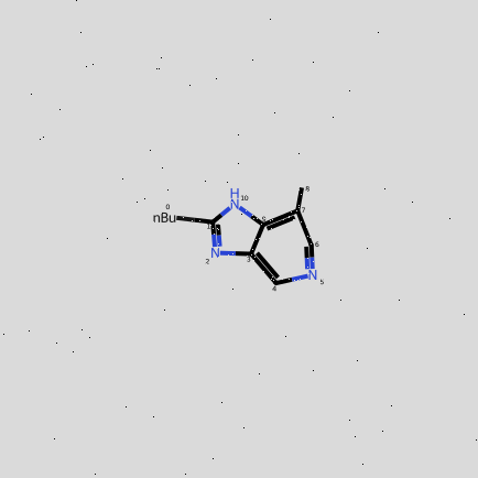 CCCCc1nc2cncc(C)c2[nH]1